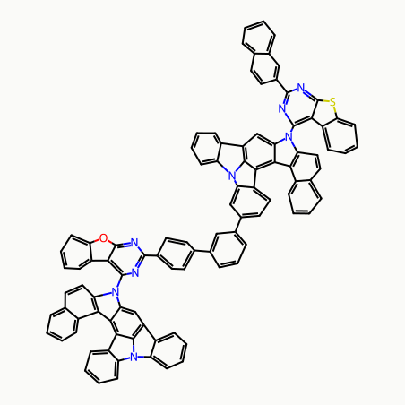 c1cc(-c2ccc(-c3nc(-n4c5ccc6ccccc6c5c5c6c7ccccc7n7c8ccccc8c(cc54)c67)c4c(n3)oc3ccccc34)cc2)cc(-c2ccc3c4c5c6c7ccccc7ccc6n(-c6nc(-c7ccc8ccccc8c7)nc7sc8ccccc8c67)c5cc5c6ccccc6n(c3c2)c54)c1